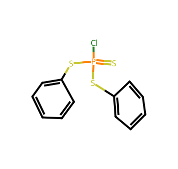 S=P(Cl)(Sc1ccccc1)Sc1ccccc1